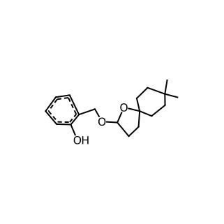 CC1(C)CCC2(CCC(OCc3ccccc3O)O2)CC1